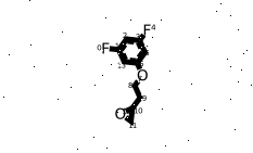 Fc1cc(F)cc(OC[CH]C2CO2)c1